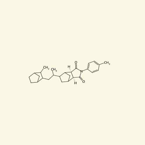 Cc1ccc(N2C(=O)[C@@H]3C4CC(CC4C(C)CC4C5CCC(C5)C4C)[C@@H]3C2=O)cc1